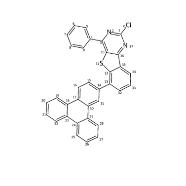 Clc1nc(-c2ccccc2)c2sc3c(-c4ccc5c6ccccc6c6ccccc6c5c4)cccc3c2n1